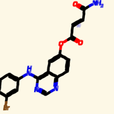 NC(=O)/C=C/C(=O)Oc1ccc2ncnc(Nc3cccc(Br)c3)c2c1